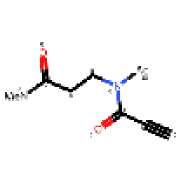 C#CC(=O)N(CCC(=O)NC)C(C)=O